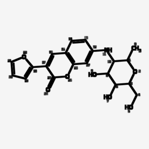 CC1OC(CO)C(O)C(O)C1Nc1ccc2cc(-c3ccco3)c(=O)oc2c1